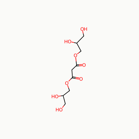 O=C(CC(=O)OCC(O)CO)OCC(O)CO